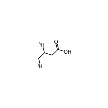 [3H]CC([3H])CC(=O)O